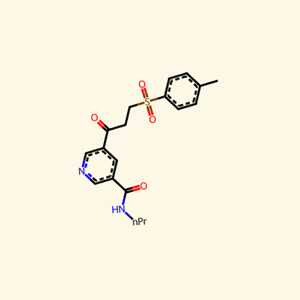 CCCNC(=O)c1cncc(C(=O)CCS(=O)(=O)c2ccc(C)cc2)c1